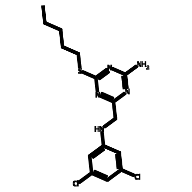 CCCCCSc1nc(N)nc(CNc2cc(Cl)cc(Cl)c2)n1